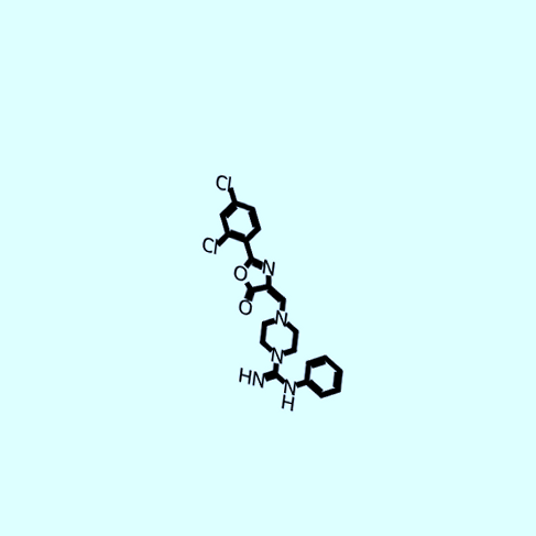 N=C(Nc1ccccc1)N1CCN(/C=C2/N=C(c3ccc(Cl)cc3Cl)OC2=O)CC1